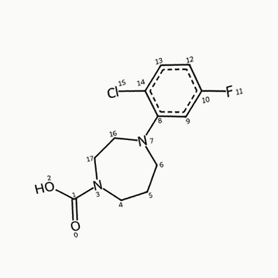 O=C(O)N1CCCN(c2cc(F)ccc2Cl)CC1